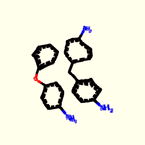 Nc1ccc(Cc2ccc(N)cc2)cc1.Nc1ccc(Oc2ccccc2)cc1